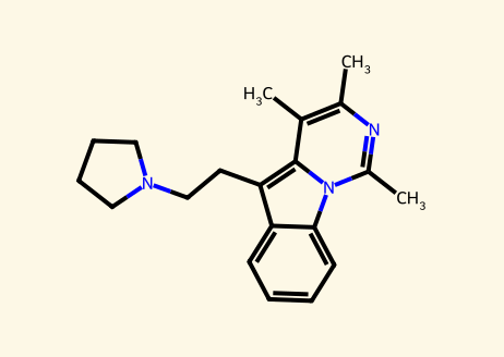 Cc1nc(C)n2c(c1C)c(CCN1CCCC1)c1ccccc12